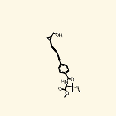 COC(=O)[C@@H](NC(=O)c1ccc(C#CC#CC2CC2CO)cc1)C(C)(C)SC